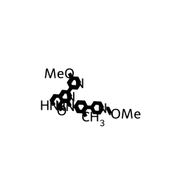 COCCN1CCC(c2ccc(Nc3nc(-c4cncc(OC)c4)cc4cc[nH]c(=O)c34)cc2C)CC1